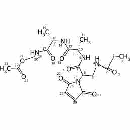 CCC(=O)NCC(C(=O)N[C@@H](C)C(=O)N[C@@H](C)C(=O)NCOC(C)=O)N1C(=O)C=CC1=O